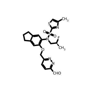 Cc1csc(S(=O)(=O)N(C[C@H](C)F)c2cc3c(cc2OCc2ccc(C=O)nn2)CCC3)n1